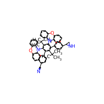 CC(C)(C)c1c(-c2ccc(C#N)cc2)c(N2c3ccccc3Oc3ccccc32)c(C(C)(C)C)c(N2c3ccccc3Oc3ccccc32)c1-c1ccc(C2CN2)cc1